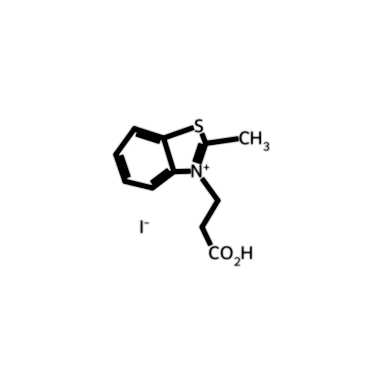 Cc1sc2ccccc2[n+]1CCC(=O)O.[I-]